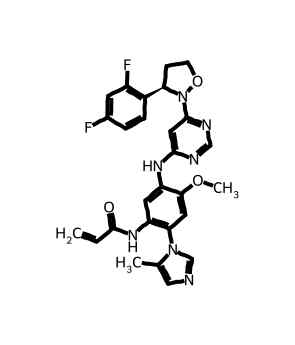 C=CC(=O)Nc1cc(Nc2cc(N3OCC[C@@H]3c3ccc(F)cc3F)ncn2)c(OC)cc1-n1cncc1C